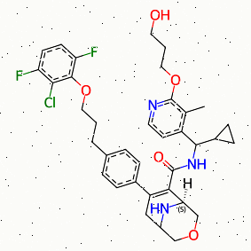 Cc1c(C(NC(=O)C2=C(c3ccc(CCCOc4c(F)ccc(F)c4Cl)cc3)CC3COC[C@H]2N3)C2CC2)ccnc1OCCCO